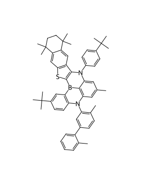 Cc1cc2c3c(c1)N(c1ccc(C(C)(C)C)cc1)c1c(sc4cc5c(cc14)C(C)(C)CCC5(C)C)B3c1cc(C(C)(C)C)ccc1N2c1cc(-c2ccccc2C)ccc1C